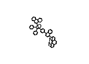 C1=Cc2c(c(C3OC(c4ccc(-c5ccc(-c6ccc7ccc8cccnc8c7n6)c6ccccc56)cc4)=C(c4ccccc4)C3c3ccccc3)cc3ccccc23)CC1